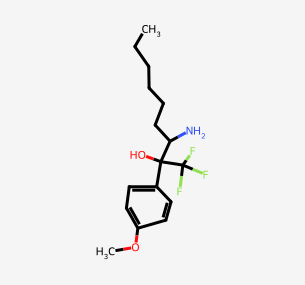 CCCCCCC(N)C(O)(c1ccc(OC)cc1)C(F)(F)F